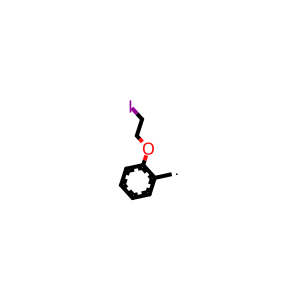 [CH2]c1ccccc1OCCI